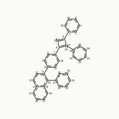 c1ccc(C2=NC(c3ccc(-c4ccc5ccccc5c4-c4cccnc4)cc3)=[N+]2c2ccccc2)cc1